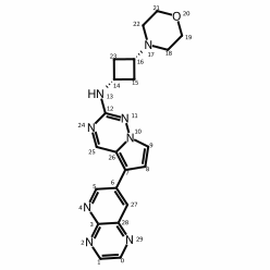 c1cnc2ncc(-c3ccn4nc(N[C@H]5C[C@@H](N6CCOCC6)C5)ncc34)cc2n1